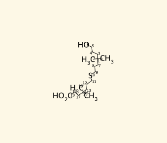 CC(C)(CCCO)CCCSCCCC(C)(C)CCC(=O)O